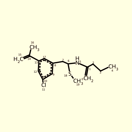 C=C(CCC)NC(Cc1cc(Cl)cc(C(=C)C)c1)SC